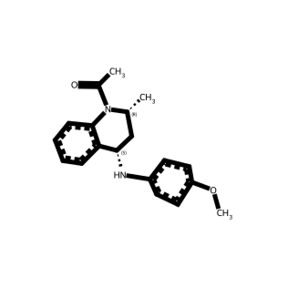 COc1ccc(N[C@H]2C[C@@H](C)N(C(C)=O)c3ccccc32)cc1